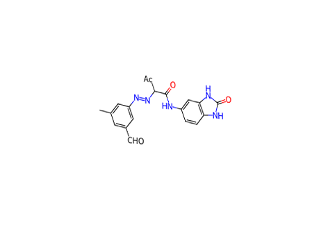 CC(=O)C(N=Nc1cc(C)cc(C=O)c1)C(=O)Nc1ccc2[nH]c(=O)[nH]c2c1